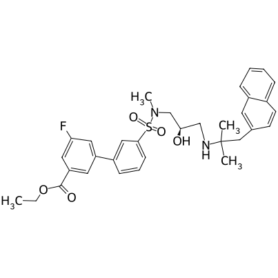 CCOC(=O)c1cc(F)cc(-c2cccc(S(=O)(=O)N(C)C[C@H](O)CNC(C)(C)Cc3ccc4ccccc4c3)c2)c1